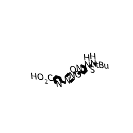 CC(C)(C)NC(=S)Nc1ccc(OC(=O)N2CCN(Cc3ccc(C(=O)O)cn3)CC2)nc1